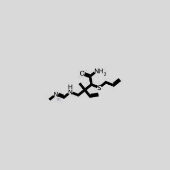 C=CCSC(C(N)=O)C(C)(C=C)CN/C=N/C